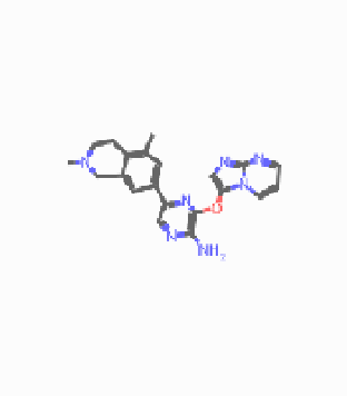 Cc1cc(-c2cnc(N)c(Oc3cnc4ncccn34)n2)cc2c1CCN(C)C2